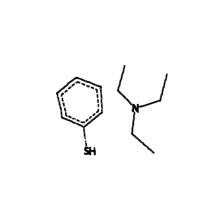 CCN(CC)CC.Sc1ccccc1